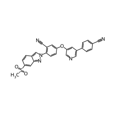 CS(=O)(=O)c1ccc2cn(-c3ccc(Oc4cncc(-c5ccc(C#N)cc5)c4)cc3C#N)nc2c1